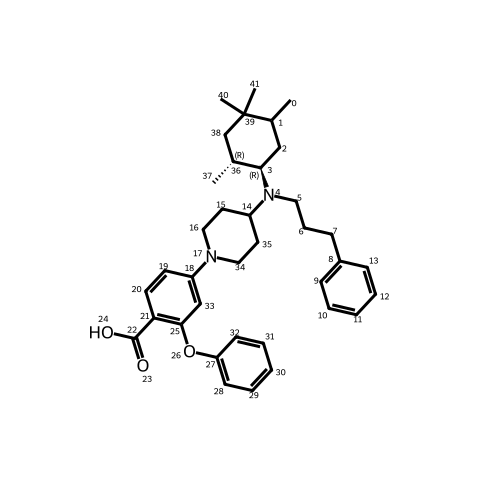 CC1C[C@@H](N(CCCc2ccccc2)C2CCN(c3ccc(C(=O)O)c(Oc4ccccc4)c3)CC2)[C@H](C)CC1(C)C